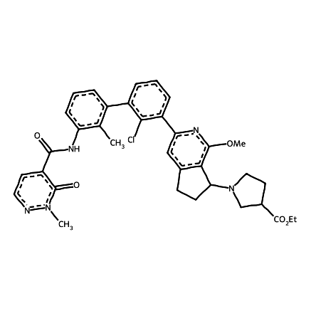 CCOC(=O)C1CCN(C2CCc3cc(-c4cccc(-c5cccc(NC(=O)c6ccnn(C)c6=O)c5C)c4Cl)nc(OC)c32)C1